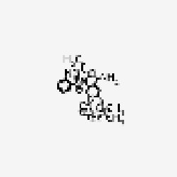 C=CCON([C@H]1CN(C(=O)OC(C)(C)C)[C@H](CO[Si](C)(C)C(C)(C)C)C=C1C(N)=O)S(=O)(=O)c1ccccc1[N+](=O)[O-]